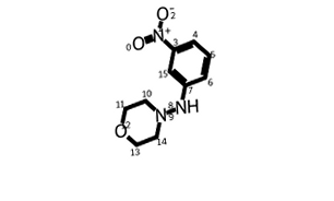 O=[N+]([O-])c1cccc(NN2CCOCC2)c1